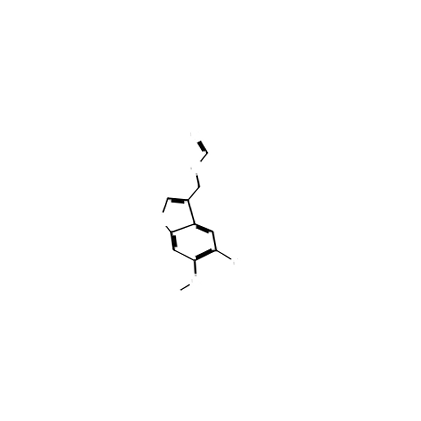 COc1cc2scc(CO[C]=O)c2cc1Cl